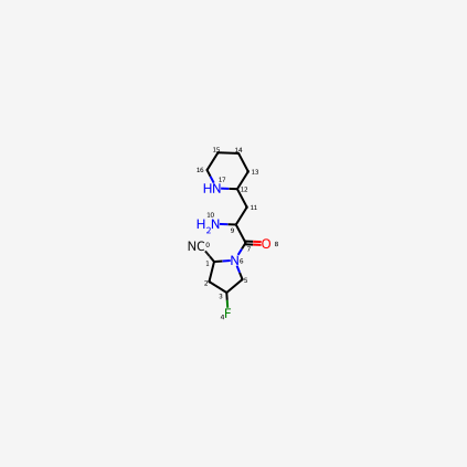 N#CC1CC(F)CN1C(=O)C(N)CC1CCCCN1